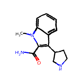 Cn1c(C(N)=O)c(C2CCNC2)c2ccccc21